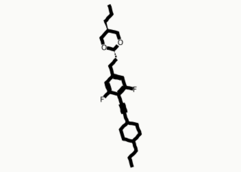 CCCC1CCC(C#Cc2c(F)cc(CC[C@H]3OC[C@H](CCC)CO3)cc2F)CC1